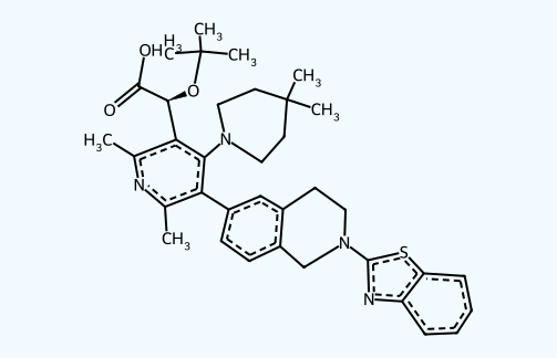 Cc1nc(C)c([C@H](OC(C)(C)C)C(=O)O)c(N2CCC(C)(C)CC2)c1-c1ccc2c(c1)CCN(c1nc3ccccc3s1)C2